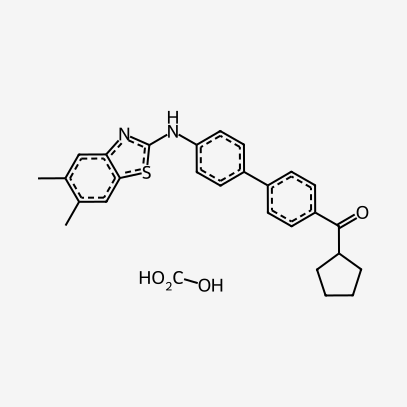 Cc1cc2nc(Nc3ccc(-c4ccc(C(=O)C5CCCC5)cc4)cc3)sc2cc1C.O=C(O)O